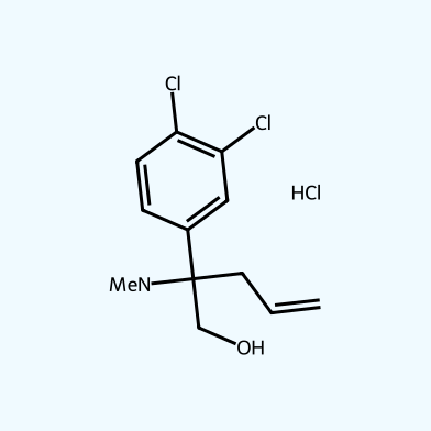 C=CCC(CO)(NC)c1ccc(Cl)c(Cl)c1.Cl